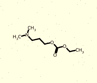 CCOC(=O)OCCCN(C)C